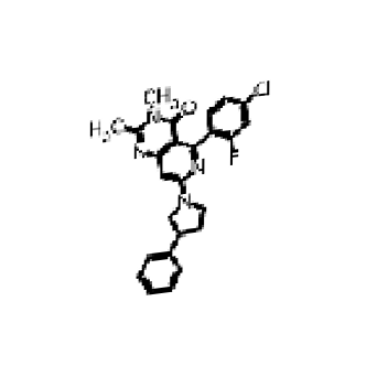 Cc1nc2cc(N3CCC(c4ccccc4)C3)nc(-c3ccc(Cl)cc3F)c2c(=O)n1C